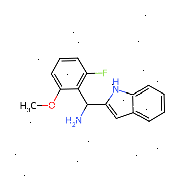 COc1cccc(F)c1C(N)c1cc2ccccc2[nH]1